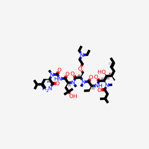 C=C(C[C@H](C(N)=O)N(C)C(=O)NC(=O)[C@H](CC(C)(C)O)N(C)C(=O)[C@@H](COCCN(CC)CC)N(C)C(=O)[C@H](CC)NC(=O)[C@H]([C@H](O)[C@H](C)C/C=C/C)N(C)C(=O)CC(C)C)C(C)C